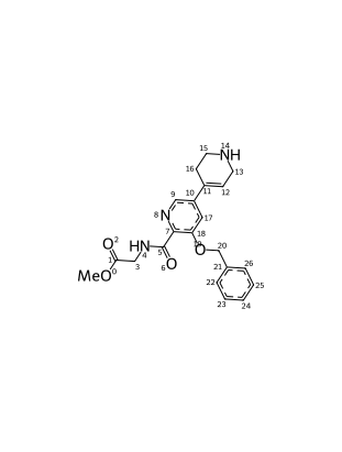 COC(=O)CNC(=O)c1ncc(C2=CCNCC2)cc1OCc1ccccc1